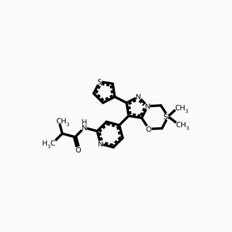 CC(C)C(=O)Nc1cc(-c2c(-c3ccsc3)nn3c2OC[Si](C)(C)C3)ccn1